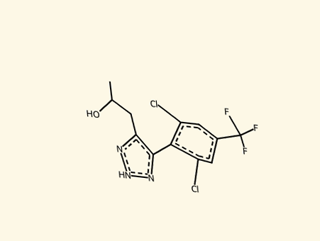 CC(O)Cc1n[nH]nc1-c1c(Cl)cc(C(F)(F)F)cc1Cl